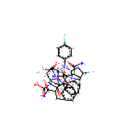 CC1(C)C(C(N)=O)Cc2ccc(cc2)[C@@]1(C(=O)NC(=O)O)N1C[C@H](F)C[C@@H]1N(c1ccc(F)cc1)[C@H]1C[C@@H](F)CN1[C@]1(C(=O)NC(=O)O)c2ccc(cc2)CC(C(N)=O)C1(C)C